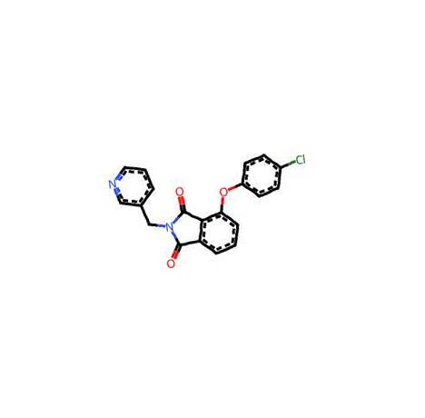 O=C1c2cccc(Oc3ccc(Cl)cc3)c2C(=O)N1Cc1cccnc1